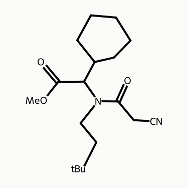 COC(=O)C(C1CCCCC1)N(CCC(C)(C)C)C(=O)CC#N